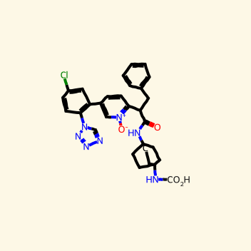 O=C(O)NC12CCC(NC(=O)C(Cc3ccccc3)c3ccc(-c4cc(Cl)ccc4-n4cnnn4)c[n+]3[O-])(CC1)CC2